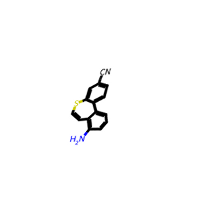 N#Cc1ccc2c(c1)SC=Cc1c(N)cccc1-2